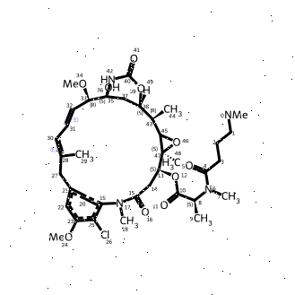 CNCCCC(=O)N(C)[C@@H](C)C(=O)O[C@H]1CC(=O)N(C)c2cc(cc(OC)c2Cl)C/C(C)=C/C=C/[C@@H](OC)[C@@]2(O)C[C@H](OC(=O)N2)[C@@H](C)C2O[C@]21C